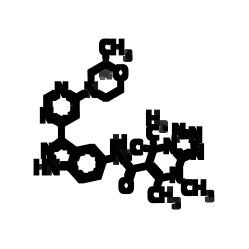 CC1=C(C(=O)Nc2ccc3[nH]nc(-c4cc(N5CCO[C@H](C)C5)ncn4)c3c2)C(C)(C)n2nnnc2N1C